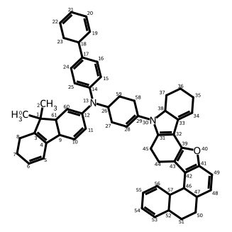 CC1(C)C2=C(C=CCC2)C2C=CC(N(c3ccc(C4C=CC=CC4)cc3)C3CC=C(N4C5=C(C6=CCCCC64)c4oc6c(c4CC5)C4C(C=C6)CCC5C=CC=CC54)CC3)=CC21